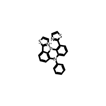 c1ccc(N2c3cccc(-c4nccs4)c3-p3c4c2cccc4c2scc[n+]23)cc1